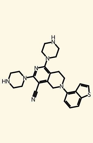 N#Cc1c(N2CCNCC2)nc(N2CCNCC2)c2c1CN(c1cccc3sccc13)CC2